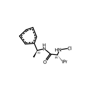 CC(C)[C@@H](NCl)C(=O)N[C@@H](C)c1ccccc1